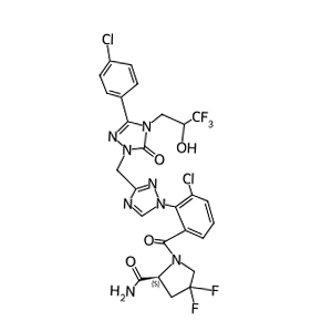 NC(=O)[C@@H]1CC(F)(F)CN1C(=O)c1cccc(Cl)c1-n1cnc(Cn2nc(-c3ccc(Cl)cc3)n(CC(O)C(F)(F)F)c2=O)n1